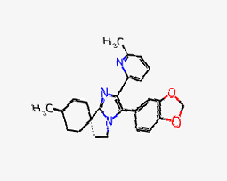 Cc1cccc(-c2nc3n(c2-c2ccc4c(c2)OCO4)CC[C@]32CC[C@H](C)CC2)n1